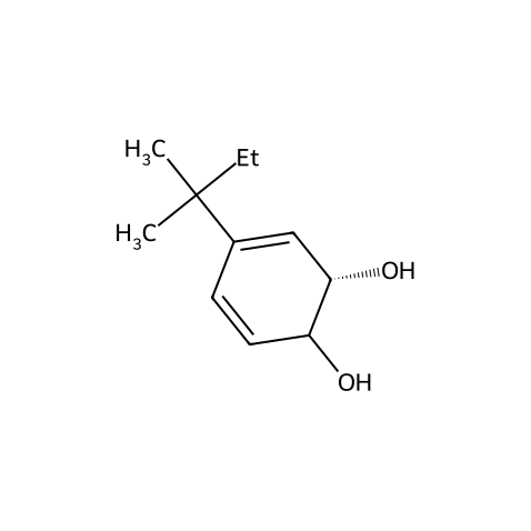 CCC(C)(C)C1=C[C@H](O)C(O)C=C1